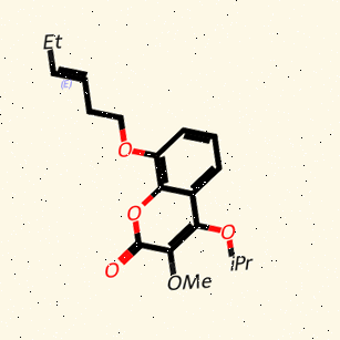 CC/C=C/CCOc1cccc2c(OC(C)C)c(OC)c(=O)oc12